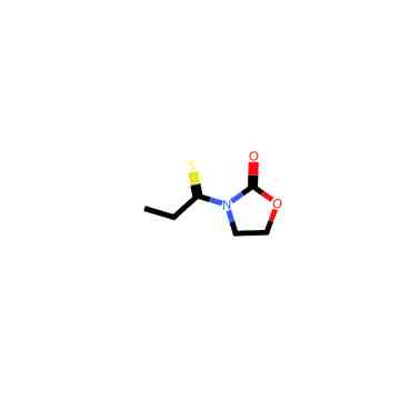 CCC(=S)N1CCOC1=O